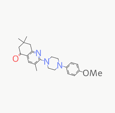 COc1ccc(N2CCN(c3nc4c(cc3C)C(=O)CC(C)(C)C4)CC2)cc1